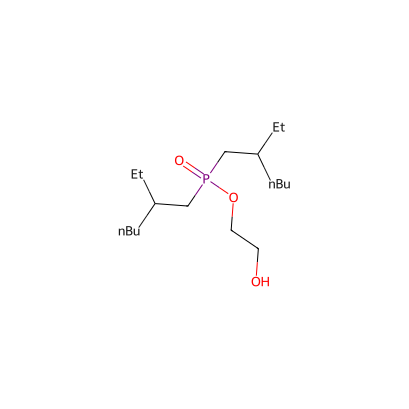 CCCCC(CC)CP(=O)(CC(CC)CCCC)OCCO